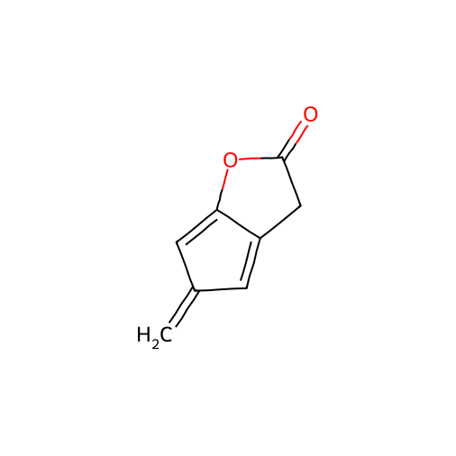 C=C1C=C2CC(=O)OC2=C1